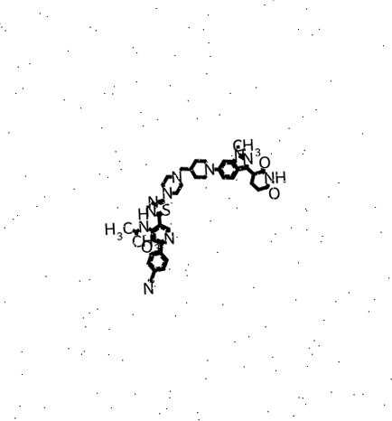 CC(C)Nc1c(-c2nnc(N3CCN(CC4CCN(c5ccc6c(C7CCC(=O)NC7=O)nn(C)c6c5)CC4)CC3)s2)cnc2c1oc1cc(C#N)ccc12